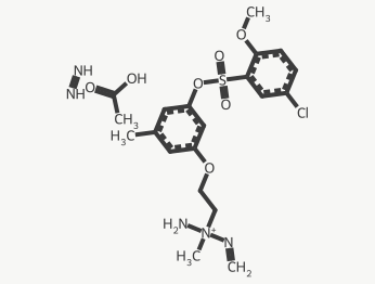 C=N[N+](C)(N)CCOc1cc(C)cc(OS(=O)(=O)c2cc(Cl)ccc2OC)c1.CC(=O)O.N=N